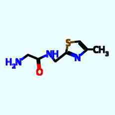 Cc1csc(CNC(=O)CN)n1